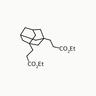 CCOC(=O)CCC12CC3CC(C1)CC(CCC(=O)OCC)(C3)C2